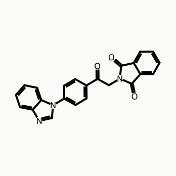 O=C(CN1C(=O)c2ccccc2C1=O)c1ccc(-n2cnc3ccccc32)cc1